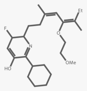 CC/C(C)=C(\C=C(\C)CCC1N=C(C2CCCCC2)C(O)=CC1F)OCCOC